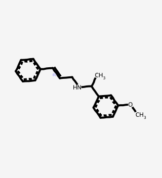 COc1cccc(C(C)NC/C=C/c2ccccc2)c1